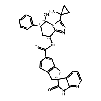 C[C@@H]1[C@H](c2ccccc2)C[C@H](NC(=O)c2ccc3c(c2)C[C@@]2(C3)C(=O)Nc3ncccc32)c2nnc(C3(C(F)(F)F)CC3)n21